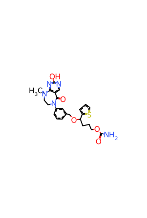 CN1CCN(c2cccc(COC(CCCOC(N)=O)c3cccs3)c2)C(=O)c2cnc(O)nc21